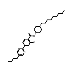 CCCCCCCCC[C@H]1CC[C@H](OC(=O)c2ccc(-c3ncc(CCCC)cn3)cc2F)CC1